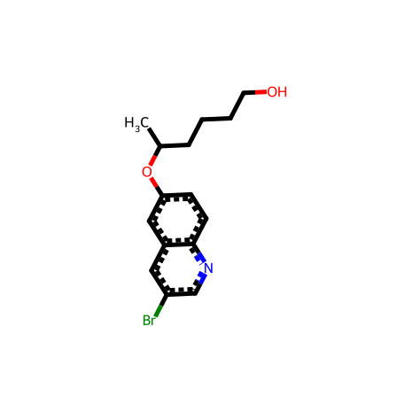 CC(CCCCO)Oc1ccc2ncc(Br)cc2c1